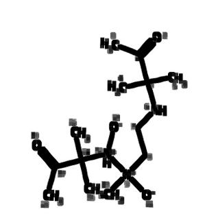 CC(=O)C(C)(C)NCC[N+](C)([O-])[NH+]([O-])C(C)(C)C(C)=O